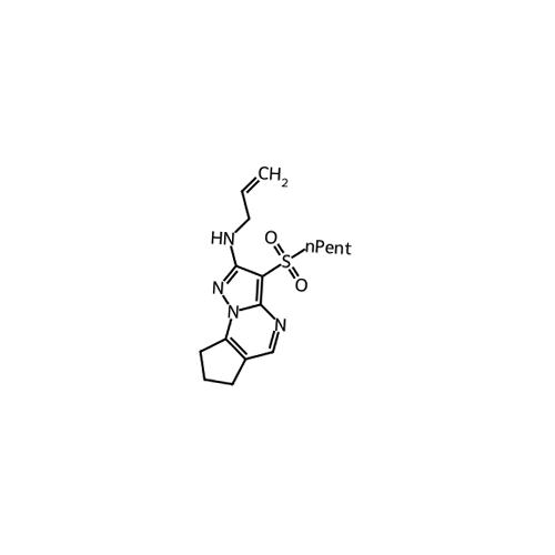 C=CCNc1nn2c3c(cnc2c1S(=O)(=O)CCCCC)CCC3